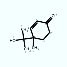 CC(C)(O)C1(C)C=CC(=O)CC1